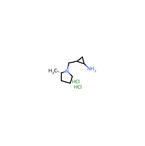 C[C@H]1CCCN1CC1CC1N.Cl.Cl